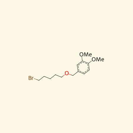 COc1ccc(COCCCCCBr)cc1OC